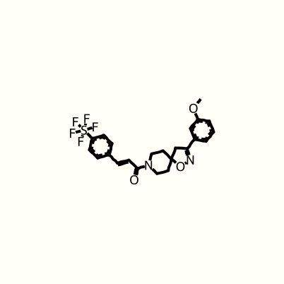 COc1cccc(C2=NOC3(CCN(C(=O)C=Cc4ccc(S(F)(F)(F)(F)F)cc4)CC3)C2)c1